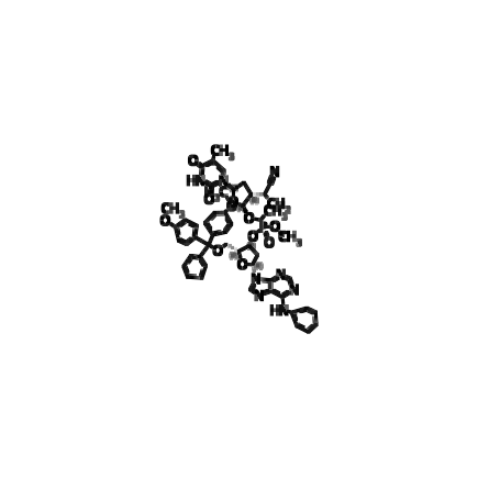 [CH2]C(C#N)[C@H]1C[C@H](n2cc(C)c(=O)[nH]c2=O)O[C@@H]1OC(C)P(=O)(OC)O[C@@H]1C[C@H](n2cnc3c(Nc4ccccc4)ncnc32)O[C@@H]1COC(c1ccccc1)(c1ccc(OC)cc1)c1ccc(OC)cc1